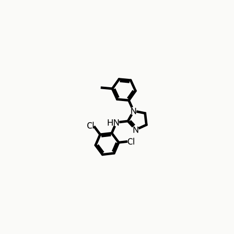 Cc1cccc(N2CCN=C2Nc2c(Cl)cccc2Cl)c1